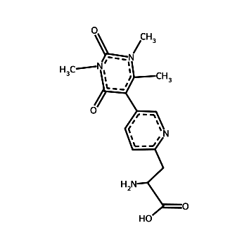 Cc1c(-c2ccc(CC(N)C(=O)O)nc2)c(=O)n(C)c(=O)n1C